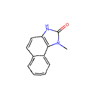 Cn1c(=O)[nH]c2ccc3ccccc3c21